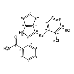 NC(=O)c1ccccc1-c1[nH]c2ccsc2c1Sc1cccc(Cl)c1Cl